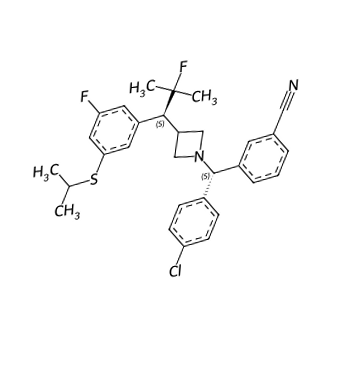 CC(C)Sc1cc(F)cc([C@H](C2CN([C@@H](c3ccc(Cl)cc3)c3cccc(C#N)c3)C2)C(C)(C)F)c1